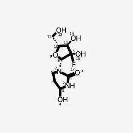 O=C1NC(O)CCN1[C@@H]1O[C@H](CO)[C@@H](O)[C@]1(O)F